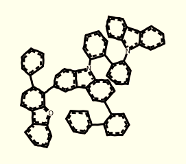 c1ccc(-c2ccccc2-c2ccc3c(c2)c2cc(-c4c(-c5ccccc5)ccc5c4oc4ccccc45)ccc2n3-c2ccccc2-c2ccccc2-n2c3ccccc3c3ccccc32)cc1